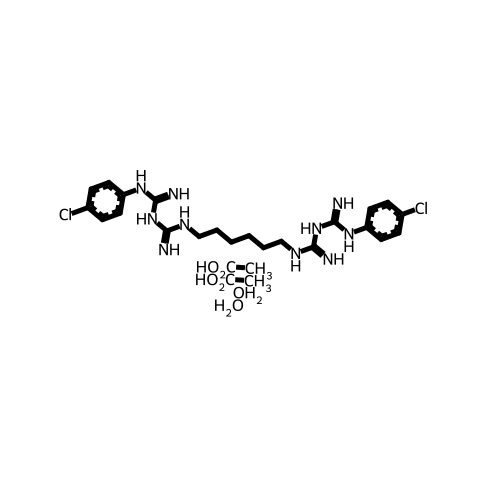 CC(=O)O.CC(=O)O.N=C(NCCCCCCNC(=N)NC(=N)Nc1ccc(Cl)cc1)NC(=N)Nc1ccc(Cl)cc1.O.O